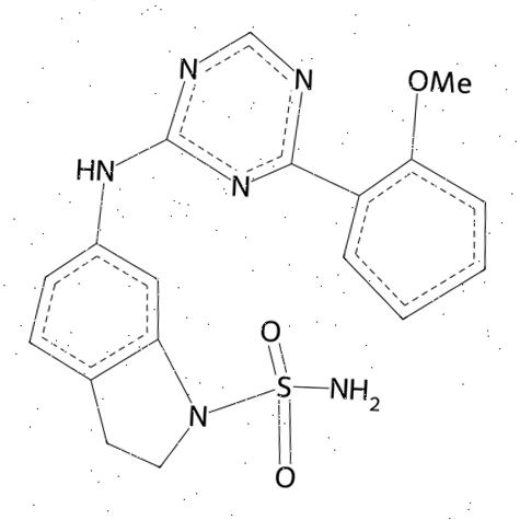 COc1ccccc1-c1ncnc(Nc2ccc3c(c2)N(S(N)(=O)=O)CC3)n1